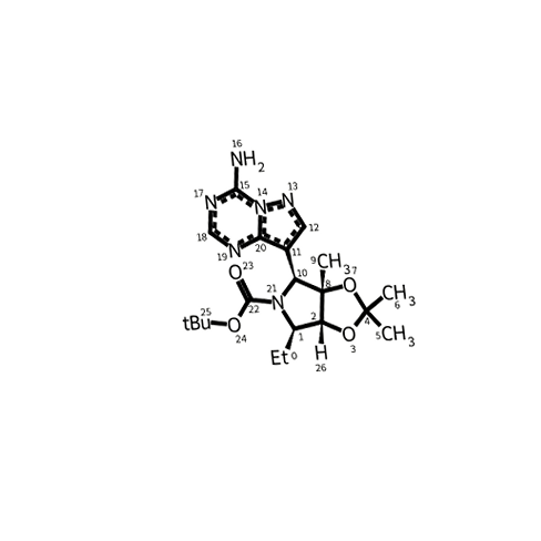 CC[C@@H]1[C@H]2OC(C)(C)O[C@@]2(C)[C@H](c2cnn3c(N)ncnc23)N1C(=O)OC(C)(C)C